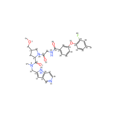 COCC1CC(C(=O)N(C)Cc2cc3cnccc3[nH]2)N(C(=O)CNC(=O)c2cccc(Oc3ccc(C)cc3F)c2)C1